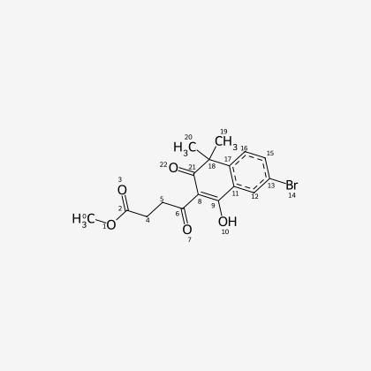 COC(=O)CCC(=O)C1=C(O)c2cc(Br)ccc2C(C)(C)C1=O